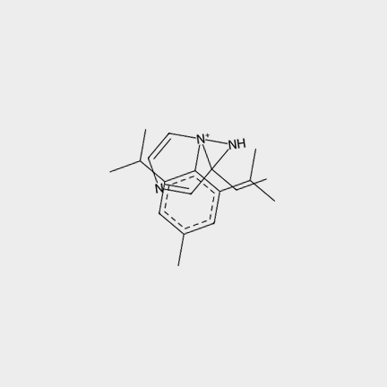 CCC12C=NC=C[N+]1(c1c(C(C)C)cc(C)cc1C(C)C)N2